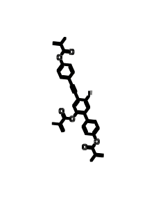 C=C(C)C(=O)Oc1ccc(C#Cc2cc(OC(=O)C(=C)C)c(-c3ccc(OC(=O)C(=C)C)cc3)cc2F)cc1